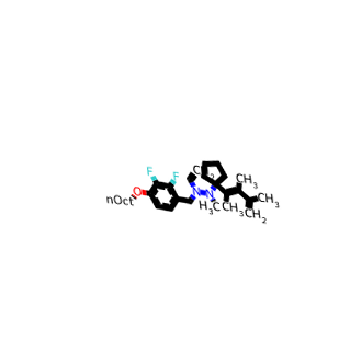 C=CN(Cc1ccc(OCCCCCCCC)c(F)c1F)N(C)C1(/C(C)=C(\C)C(=C)C)CCCC1